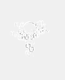 CC[C@@H]1C[C@@H](C)CCC=C[C@@H]2C[C@@]2(C(=O)NS(=O)(=O)C2CC2)NC(=O)[C@@H]2C[C@@H](Oc3nccc4c5c(ccc34)OCCO5)CN2C(=O)[C@H]1N(C(=O)O)C(C)(C)C(F)(F)F